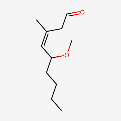 CCCCC(C=C(C)CC=O)OC